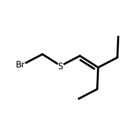 CCC(=CSCBr)CC